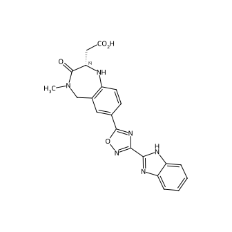 CN1Cc2cc(-c3nc(-c4nc5ccccc5[nH]4)no3)ccc2N[C@@H](CC(=O)O)C1=O